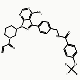 C=CC(=O)N1CCC[C@@H](n2nc(-c3ccc(CNC(=O)c4ccc(OC(F)(F)F)cc4)cc3)c3c(N)ncnc32)C1